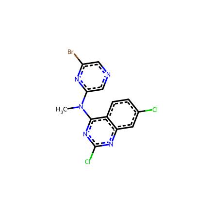 CN(c1cncc(Br)n1)c1nc(Cl)nc2cc(Cl)ccc12